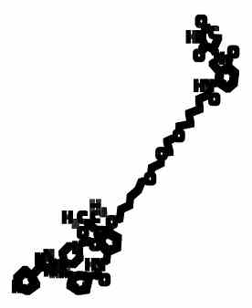 CC(C)(C)OC(=O)N1CCC(Nc2cccc(C(=O)NCc3ccc(OCCCCCCOCCOCCOCCCCCC(=O)Nc4cccc5c4CN(C4CCC(=O)NC4=O)C5=O)cc3)c2)(c2nnc(-c3ccncc3)[nH]2)CC1